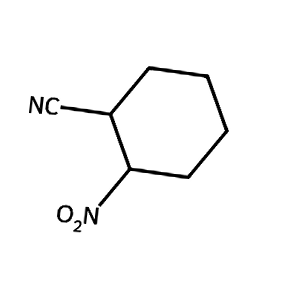 N#CC1CCCCC1[N+](=O)[O-]